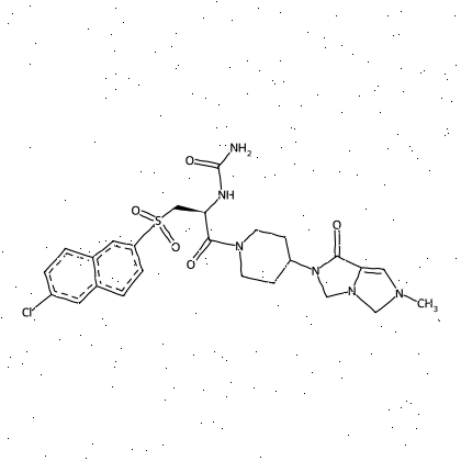 CN1C=C2C(=O)N(C3CCN(C(=O)[C@@H](CS(=O)(=O)c4ccc5cc(Cl)ccc5c4)NC(N)=O)CC3)CN2C1